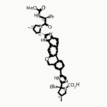 COC(=O)N[C@H](C(=O)N1C[C@@H](C)C[C@H]1c1nc2ccc3cc4c(cc3c2[nH]1)OCc1cc(-c2cnc([C@@]3(C(C)(C)C)C[C@H](C)CN3C(=O)O)[nH]2)ccc1-4)C(C)C